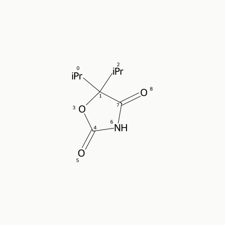 CC(C)C1(C(C)C)OC(=O)NC1=O